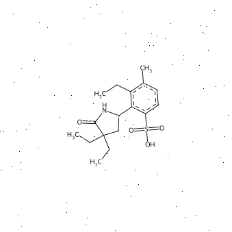 CCc1c(C)ccc(S(=O)(=O)O)c1C1CC(CC)(CC)C(=O)N1